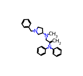 C=C(CN(C)[C@@H]1CCN(Cc2ccccc2)C1)N(c1ccccc1)c1ccccc1